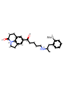 COc1ccccc1CC(C)NCCCCC(=O)c1cc2c3c(c1)CCN3C(=O)CC2